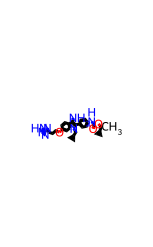 CC(OC(=O)Nc1ccc(-c2c(N)c3ccc(OCCc4nn[nH]n4)cc3n2CC2CC2)cc1)C1CC1